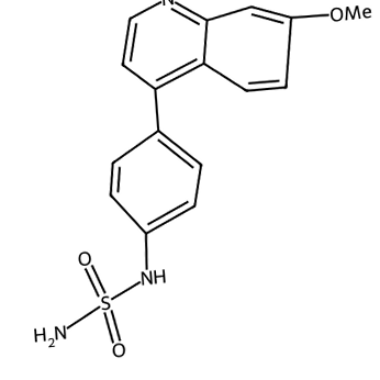 COc1ccc2c(-c3ccc(NS(N)(=O)=O)cc3)ccnc2c1